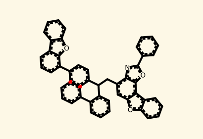 c1ccc(-c2nc3c(CC(c4ccc(-c5cccc6c5oc5ccccc56)cc4)c4ccccc4-c4ccccc4)cc4oc5ccccc5c4c3o2)cc1